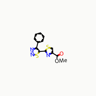 COC(=O)c1csc(-c2snnc2-c2ccccc2)n1